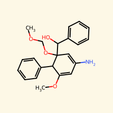 COCOC1(C(O)c2ccccc2)C=C(N)C=C(OC)C1c1ccccc1